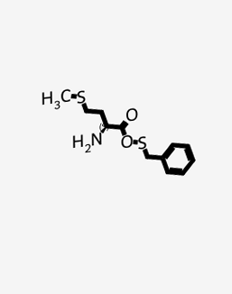 CSCC[C@H](N)C(=O)OSCc1ccccc1